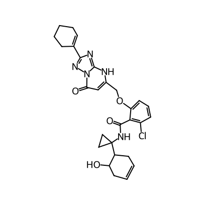 O=C(NC1(C2CC=CCC2O)CC1)c1c(Cl)cccc1OCc1cc(=O)n2nc(C3=CCCCC3)nc2[nH]1